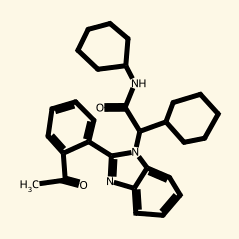 CC(=O)c1ccccc1-c1nc2ccccc2n1C(C(=O)NC1CCCCC1)C1CCCCC1